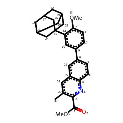 COC(=O)c1nc2ccc(-c3ccc(OC)c(C45CC6CC(CC(C6)C4)C5)c3)cc2cc1C